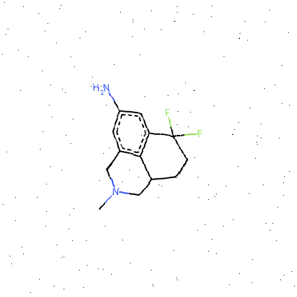 CN1Cc2cc(N)cc3c2C(CCC3(F)F)C1